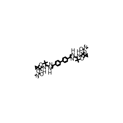 CN(C)C(=O)O[C@@](C)(C(=O)N[C@H](c1nc(-c2ccc(-c3ccc(-c4c[nH]c([C@@H](NC(=O)[C@](C)(OC(=O)N(C)C)C5(C)CC5)C(C)(C)C)n4)cc3)cc2)c[nH]1)C(C)(C)C)C1(C)CC1